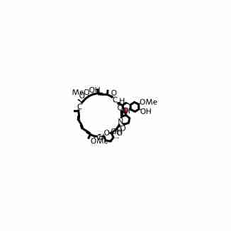 CO[C@H]1C[C@@H]2CC[C@@H](C)[C@@](O)(O2)C(=O)C(=O)N2CCC[C@@H]3C(C[C@@H]4CC[C@@H](O)[C@H](OC)C4)[C@H](CC(=O)C(C)/C=C(\C)[C@@H](O)[C@@H](OC)C(=O)[C@H](C)CC(C)/C=C/C=C/C=C/1C)OC(=O)[C@H]32